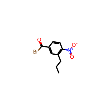 CCCc1cc(C(=O)Br)ccc1[N+](=O)[O-]